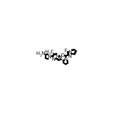 Cc1cn2nc([C@@H]3CCCCN3C(=O)c3nc4ccccn4c3F)cc2nc1N1CC[C@H](N)C1